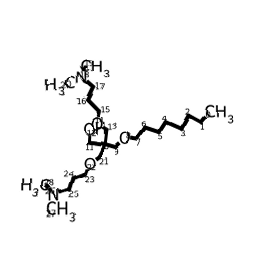 CCCCCCCCOCC(CO)(COCCCN(C)C)COCCCN(C)C